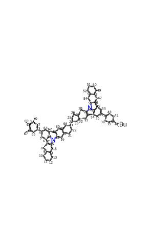 Cc1cc(-c2cc3c4cc5ccccc5cc4n4c5cc6ccc(-c7ccc8cc9c(cc8c7)c7cc(-c8ccc(C(C)(C)C)cc8)cc8c%10cc%11ccccc%11cc%10n9c87)cc6cc5c(c2)c34)cc(C)c1C